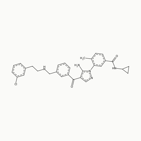 Cc1ccc(C(=O)NC2CC2)cc1-n1ncc(C(=O)c2cccc(CNCCc3cccc(Cl)c3)c2)c1N